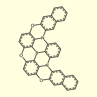 c1cc2c3c(c1)N1c4cc5ccccc5cc4Oc4ccc5c(c41)B3c1c(ccc3c1N2c1cc2ccccc2cc1O3)O5